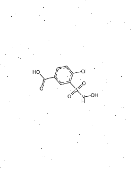 O=C(O)c1ccc(Cl)c(S(=O)(=O)NO)c1